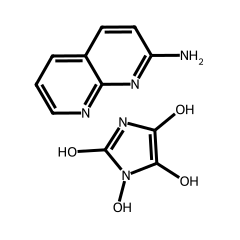 Nc1ccc2cccnc2n1.Oc1nc(O)n(O)c1O